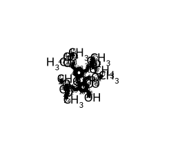 CCOP(=O)(O)CCc1cc(CO)cc(CCP(=O)(OCC)OCC)c1Oc1cc(CCP(=O)(OC)OC)cc(CCP(=O)(OC)OC)c1